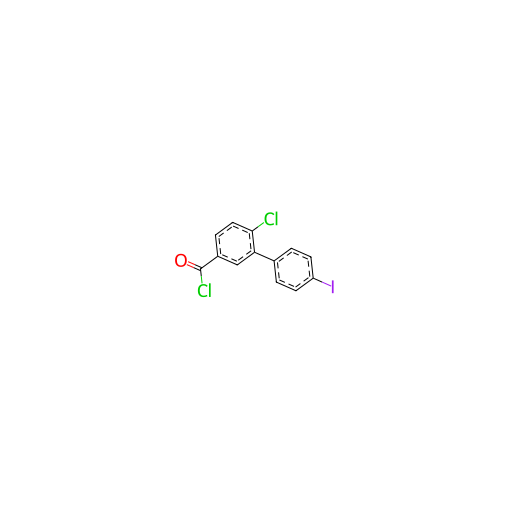 O=C(Cl)c1ccc(Cl)c(-c2ccc(I)cc2)c1